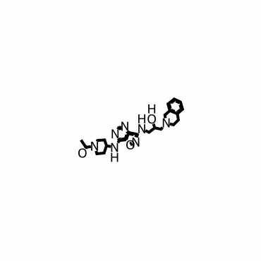 CC(=O)N1CCC(Nc2ncnc3c(NCC(O)CN4CCc5ccccc5C4)noc23)CC1